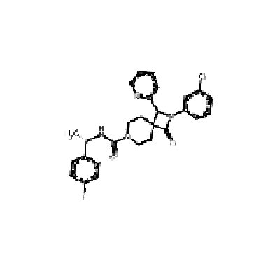 C[C@H](NC(=O)N1CCC2(CC1)C(=O)N(c1cccc(Cl)c1)C2c1ccccn1)c1ccc(F)cc1